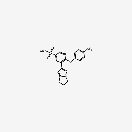 CNS(=O)(=O)c1cnc(Oc2ccc(C(F)(F)F)cc2)c(-c2cc3n(n2)CCC3)c1